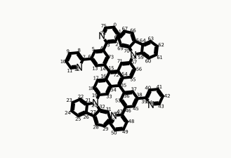 c1ccc(-c2cc(-c3ccccn3)cc(-c3c4ccc(-n5c6ccccc6c6ccccc65)cc4c(-c4cc(-c5ccccn5)cc(-c5ccccn5)c4)c4ccc(-n5c6ccccc6c6ccccc65)cc34)c2)nc1